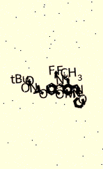 COc1cc(OC2CN(C(=O)OC(C)(C)C)C2)ccc1[C@@H]1c2ccc3c(cnn3C3CCCCO3)c2C[C@@H](C)N1CC(F)F